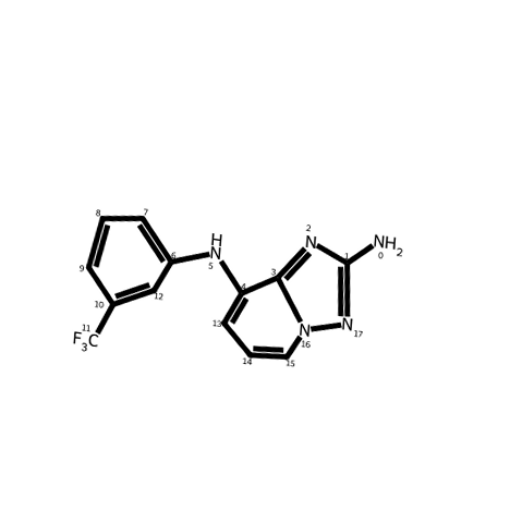 Nc1nc2c(Nc3cccc(C(F)(F)F)c3)cccn2n1